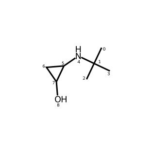 CC(C)(C)NC1CC1O